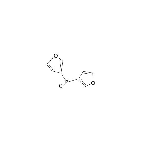 ClP(c1ccoc1)c1ccoc1